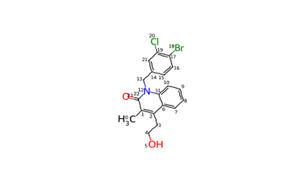 Cc1c(CCO)c2ccccc2n(Cc2ccc(Br)c(Cl)c2)c1=O